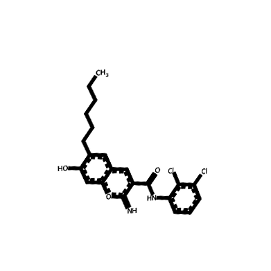 CCCCCCc1cc2cc(C(=O)Nc3cccc(Cl)c3Cl)c(=N)oc2cc1O